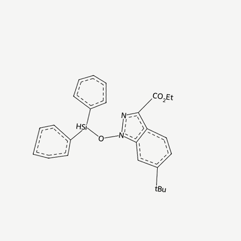 CCOC(=O)c1nn(O[SiH](c2ccccc2)c2ccccc2)c2cc(C(C)(C)C)ccc12